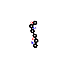 In1c2ccccc2c2ccc3c4ccc(-c5ccc6c7ccc8oc9ccccc9c8c7n(I)c6c5)cc4oc3c21